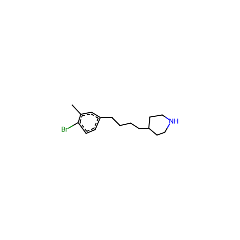 Cc1cc(CCCCC2CCNCC2)ccc1Br